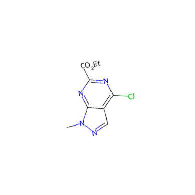 CCOC(=O)c1nc(Cl)c2cnn(C)c2n1